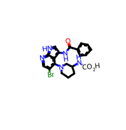 O=C(O)NC1CCCN(c2c(Br)cnc3[nH]cc(NC(=O)c4ccccc4)c23)C1